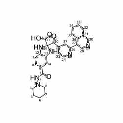 O=C(NN1CCCCC1)c1ccc2c(c1)NC(C(=O)O)(C(=O)c1ccnc(-c3cncc4ccccc34)c1)N2